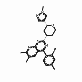 Cc1ccc(-c2nc([C@H]3CCO[C@@H](c4cnn(C)c4)C3)nc3nc(C)c(C)cc23)c(F)c1